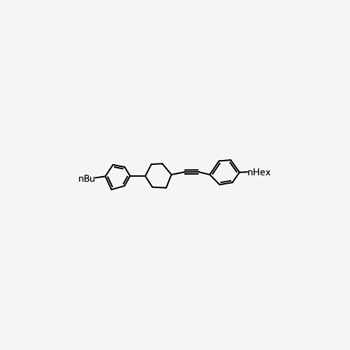 CCCCCCc1ccc(C#CC2CCC(c3ccc(CCCC)cc3)CC2)cc1